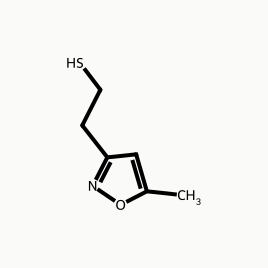 Cc1cc(CCS)no1